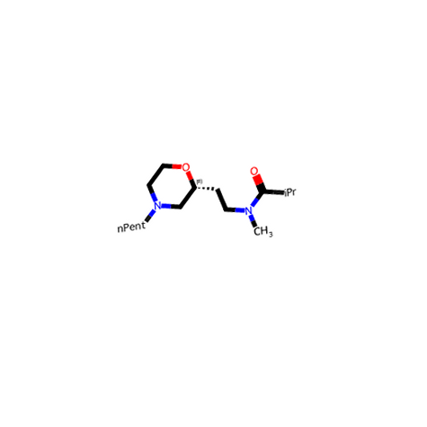 CCCCCN1CCO[C@H](CCN(C)C(=O)C(C)C)C1